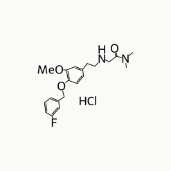 COc1cc(CCNCC(=O)N(C)C)ccc1OCc1cccc(F)c1.Cl